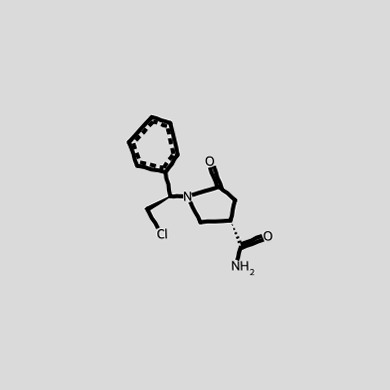 NC(=O)[C@H]1CC(=O)N([C@@H](CCl)c2ccccc2)C1